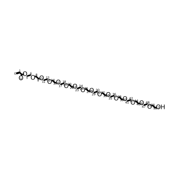 C=CC(=O)OCCOCCOCCOCCOCCOCCOCCOCCOCCOCCOCCOCCOCCOCCOCCOCCO